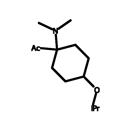 CC(=O)C1(N(C)C)CCC(OC(C)C)CC1